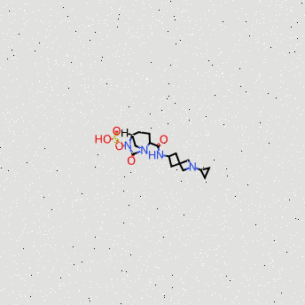 O=C(NC1CC2(C1)CN(C1CC1)C2)C1CC[C@@H]2CN1C(=O)N2OS(=O)O